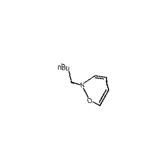 CCCCCN1C=CC=CO1